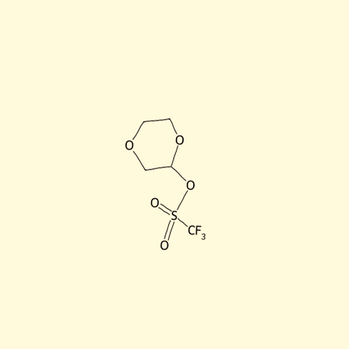 O=S(=O)(OC1COCCO1)C(F)(F)F